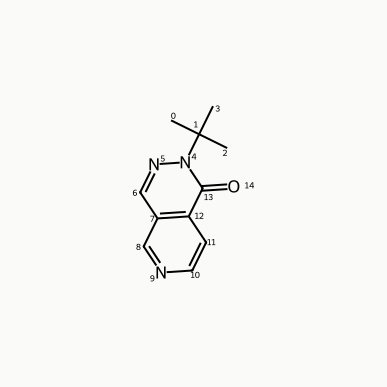 CC(C)(C)n1ncc2cnccc2c1=O